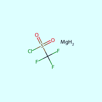 O=S(=O)(Cl)C(F)(F)F.[MgH2]